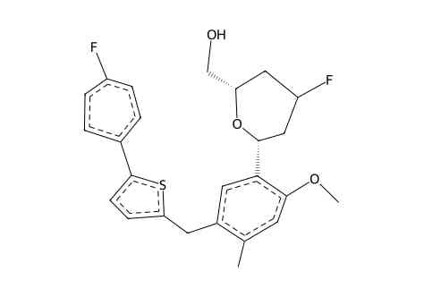 COc1cc(C)c(Cc2ccc(-c3ccc(F)cc3)s2)cc1[C@H]1CC(F)C[C@@H](CO)O1